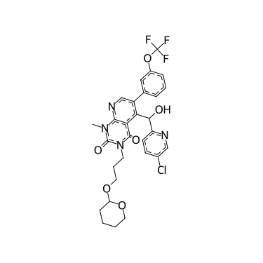 Cn1c(=O)n(CCCOC2CCCCO2)c(=O)c2c(C(O)c3ccc(Cl)cn3)c(-c3cccc(OC(F)(F)F)c3)cnc21